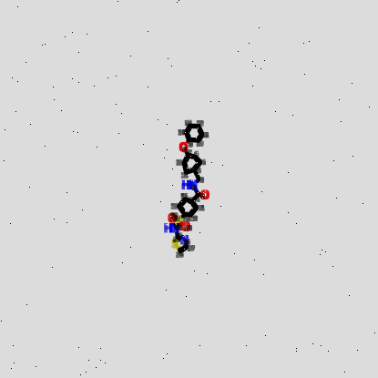 O=C(NCc1ccc(Oc2ccccc2)cc1)c1ccc(S(=O)(=O)Nc2nccs2)cc1